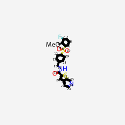 COc1c(F)cccc1S(=O)(=O)c1ccc(CNC(=O)c2cc3ccncc3s2)cc1